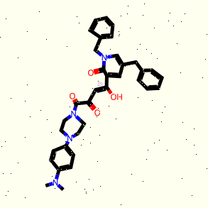 CN(C)c1ccc(N2CCN(C(=O)C(=O)/C=C(\O)c3cc(Cc4ccccc4)cn(Cc4ccccc4)c3=O)CC2)cc1